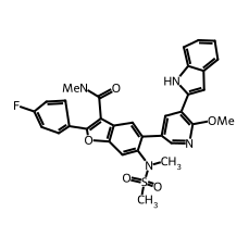 CNC(=O)c1c(-c2ccc(F)cc2)oc2cc(N(C)S(C)(=O)=O)c(-c3cnc(OC)c(-c4cc5ccccc5[nH]4)c3)cc12